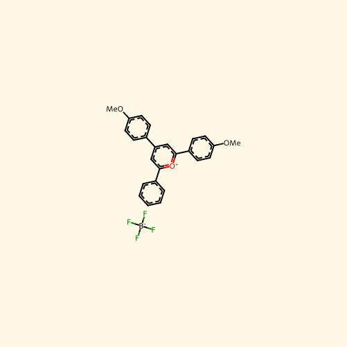 COc1ccc(-c2cc(-c3ccccc3)[o+]c(-c3ccc(OC)cc3)c2)cc1.F[B-](F)(F)F